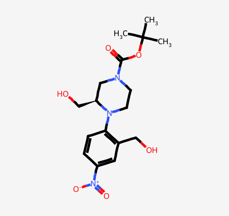 CC(C)(C)OC(=O)N1CCN(c2ccc([N+](=O)[O-])cc2CO)[C@@H](CO)C1